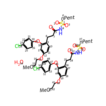 CCCCCS(=O)(=O)NC(=O)CCc1ccc(OCCOC)cc1Oc1ccc(Cl)cc1.CCCCCS(=O)(=O)NC(=O)CCc1ccc(OCCOC)cc1Oc1ccc(Cl)cc1.O